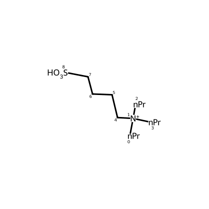 CCC[N+](CCC)(CCC)CCCCS(=O)(=O)O